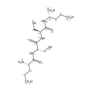 N[C@@H](CCC(=O)O)C(=O)N[C@@H](CS)C(=O)N[C@@H](CS)C(=O)N[C@@H](CCC(=O)O)C(=O)O